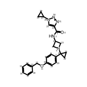 O=C(NC1CN(C2(c3ccc(OCc4ccccc4)cc3)CC2)C1)c1cn(C2CC2)nn1